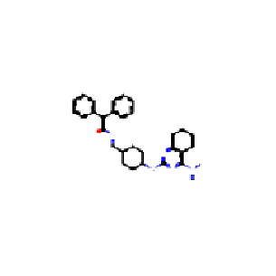 CN(C)c1nc(NC2CCC(CNC(=O)C(c3ccccc3)c3ccccc3)CC2)nc2c1CCCC2